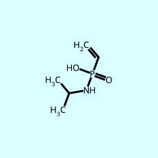 C=CP(=O)(O)NC(C)C